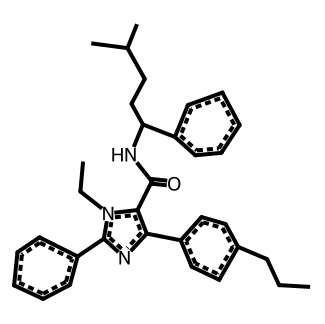 CCCc1ccc(-c2nc(-c3ccccc3)n(CC)c2C(=O)NC(CCC(C)C)c2ccccc2)cc1